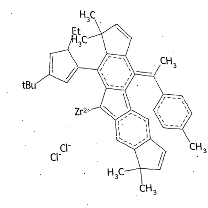 CCC1C=C(C(C)(C)C)C=C1c1c2c(c(=C(C)c3ccc(C)cc3)c3c1[C]([Zr+2])=c1cc4c(cc1=3)C=CC4(C)C)C=CC2(C)C.[Cl-].[Cl-]